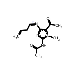 C=CC/C=N\c1nc(NC(C)=O)n(C)c1C(C)=O